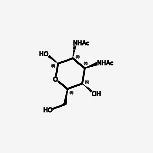 CC(=O)N[C@@H]1[C@@H](NC(C)=O)[C@H](O)[C@@H](CO)O[C@@H]1O